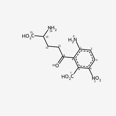 Nc1ccc([N+](=O)[O-])c(C(=O)O)c1C(=O)CCC(N)C(=O)O